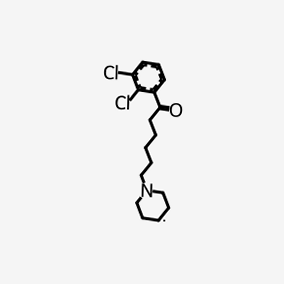 O=C(CCCCCN1CC[CH]CC1)c1cccc(Cl)c1Cl